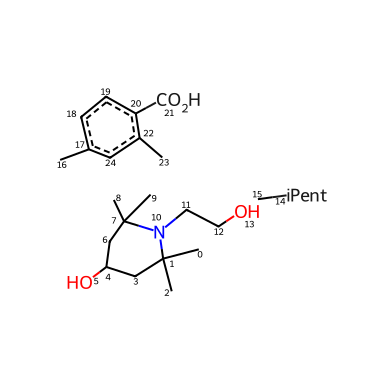 CC1(C)CC(O)CC(C)(C)N1CCO.CCCC(C)C.Cc1ccc(C(=O)O)c(C)c1